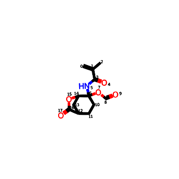 C=C(C)C(=O)NC1(OC=O)CCC2CC1OC2=O